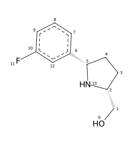 OC[C@H]1CC[C@@H](c2cccc(F)c2)N1